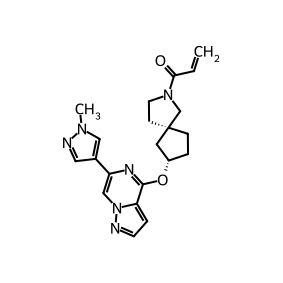 C=CC(=O)N1CC[C@@]2(CC[C@H](Oc3nc(-c4cnn(C)c4)cn4nccc34)C2)C1